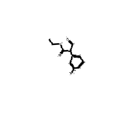 CCOC(=O)C(C=O)c1cccc(Br)c1